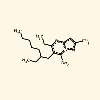 CCCCCC(CC)Cc1c(CC)nc2cc(C)nn2c1N